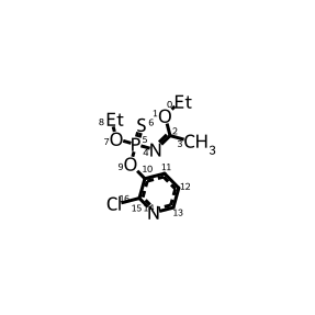 CCO/C(C)=N\P(=S)(OCC)Oc1cccnc1Cl